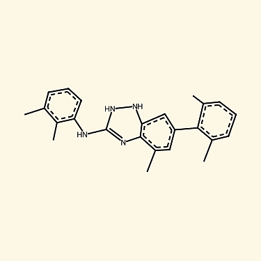 Cc1cccc(NC2=Nc3c(C)cc(-c4c(C)cccc4C)cc3NN2)c1C